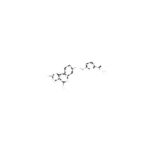 CCc1nc2c(N)nc3cc(OCc4ccc(C(=O)OC)o4)ccc3c2s1